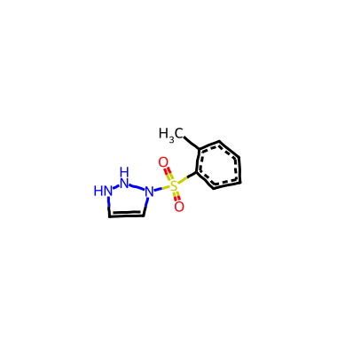 Cc1ccccc1S(=O)(=O)N1C=CNN1